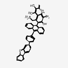 BCc1c(/C(O)=C(/O)C(=C)O)c(O)c(B)c(O)c1-c1c2ccccc2c(-c2ccc(-c3ccc4c(c3)oc3ccccc34)cc2)c2ccccc12